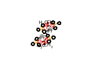 CC(C)c1cccc(P(c2ccccc2)c2ccccc2)c1OC[C@@H]1OC(C)(C)O[C@H]1COc1c(P(c2ccccc2)c2ccccc2)ccc(-c2ccc(P(c3ccccc3)c3ccccc3)c(OC[C@H]3OC(C)(C)O[C@@H]3COc3c(C(C)C)cccc3P(c3ccccc3)c3ccccc3)c2C(C)C)c1C(C)C